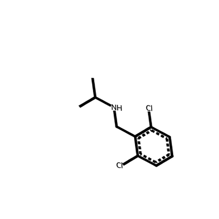 CC(C)NCc1c(Cl)cccc1Cl